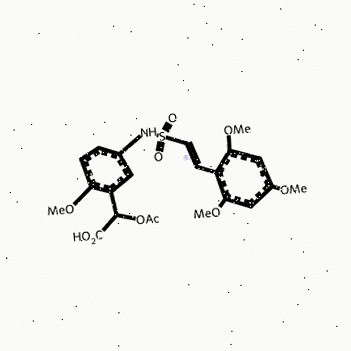 COc1cc(OC)c(/C=C/S(=O)(=O)Nc2ccc(OC)c(C(OC(C)=O)C(=O)O)c2)c(OC)c1